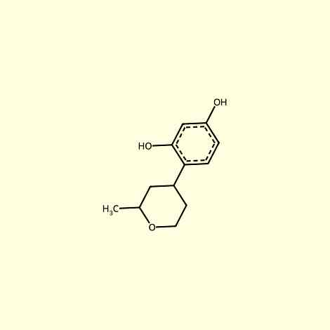 CC1CC(c2ccc(O)cc2O)CCO1